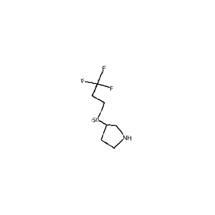 FC(F)(F)C[CH2][Sn][CH]1CCNC1